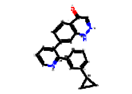 O=c1cn[nH]c2cc(-c3cccnc3-c3cccc(C4CC4)c3)ccc12